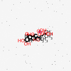 CC(C)(O)CCC(OP(=O)(O)O)[C@](C)(O)[C@H]1CC[C@@]2(O)C3=CC(=O)[C@@H]4C[C@@H](O)[C@@H](O)C[C@]4(C)[C@H]3CC[C@]12C